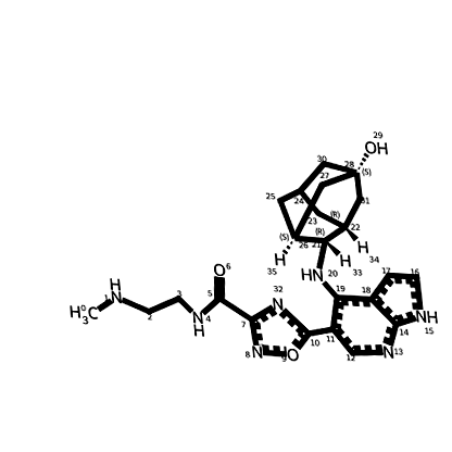 CNCCNC(=O)c1noc(-c2cnc3[nH]ccc3c2N[C@H]2[C@@H]3CC4C[C@H]2C[C@@](O)(C4)C3)n1